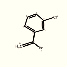 C=C(Br)c1cccc(Cl)c1